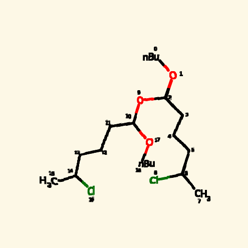 CCCCOC(CCCC(C)Cl)OC(CCCC(C)Cl)OCCCC